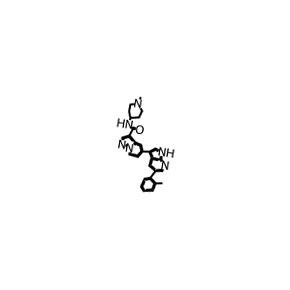 Cc1ccccc1-c1cnc2[nH]cc(-c3ccn4ncc(C(=O)NC5CCN(C)CC5)c4c3)c2c1